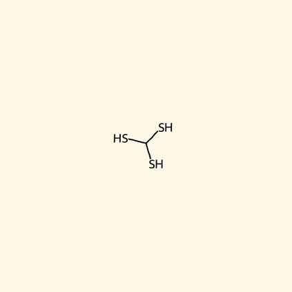 SC(S)S